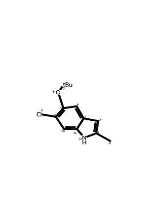 Cc1cc2cc(OC(C)(C)C)c(Cl)cc2[nH]1